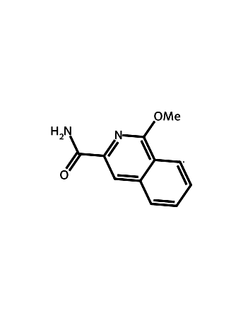 COc1nc(C(N)=O)cc2ccc[c]c12